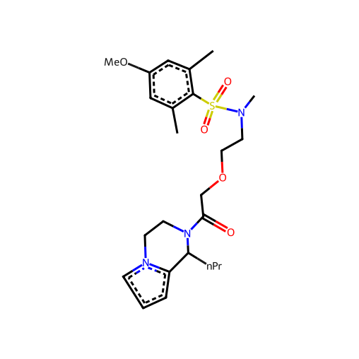 CCCC1c2cccn2CCN1C(=O)COCCN(C)S(=O)(=O)c1c(C)cc(OC)cc1C